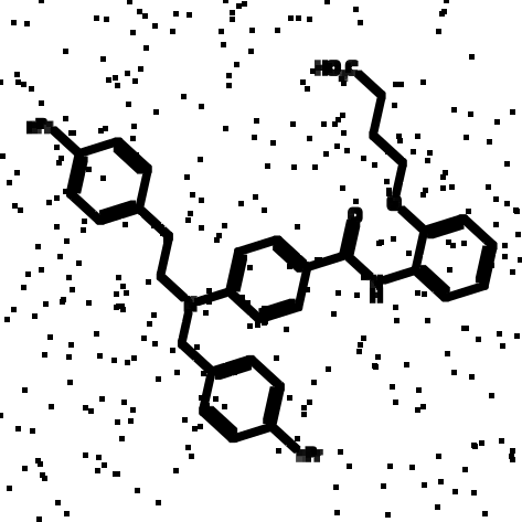 CCCc1ccc(CCN(Cc2ccc(CCC)cc2)c2ccc(C(=O)Nc3ccccc3OCCCC(=O)O)cc2)cc1